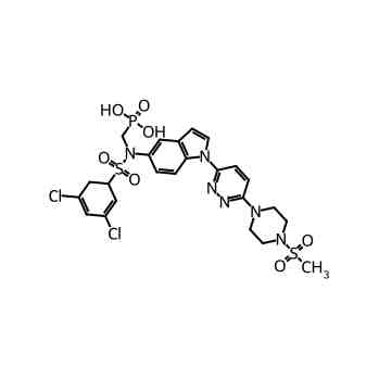 CS(=O)(=O)N1CCN(c2ccc(-n3ccc4cc(N(CP(=O)(O)O)S(=O)(=O)C5C=C(Cl)C=C(Cl)C5)ccc43)nn2)CC1